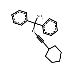 [SiH3]C(OC#CC1CCCCC1)(c1ccccc1)c1ccccc1